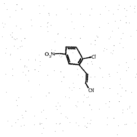 N#CC=Cc1cc([N+](=O)[O-])ccc1Cl